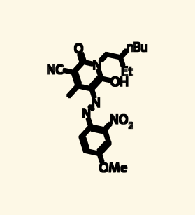 CCCCC(CC)Cn1c(O)c(N=Nc2ccc(OC)cc2[N+](=O)[O-])c(C)c(C#N)c1=O